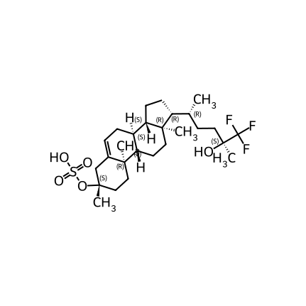 C[C@H](CC[C@](C)(O)C(F)(F)F)[C@H]1CC[C@H]2[C@@H]3CC=C4C[C@@](C)(OS(=O)(=O)O)CC[C@]4(C)[C@H]3CC[C@]12C